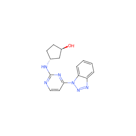 O[C@@H]1CC[C@@H](Nc2nccc(-n3nnc4ccccc43)n2)C1